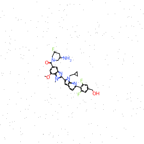 COc1cc(C(=O)N2C[C@H](N)C[C@@H](F)C2)cc2nc(-c3cc4ccc(-c5c(F)cc(CO)cc5F)nc4n3CC3CC3)n(C)c12